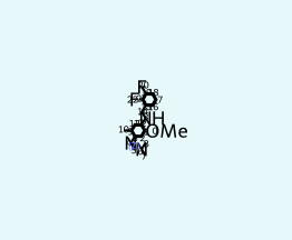 COc1cc(/N=C\N(C)C)c(C)cc1NCc1cccc(F)c1F